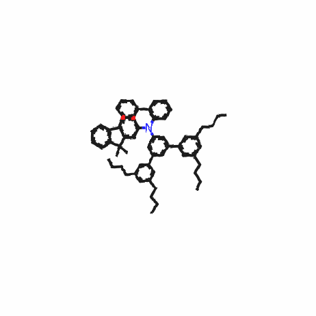 CCCCc1cc(CCCC)cc(-c2cc(-c3cc(CCCC)cc(CCCC)c3)cc(N(c3ccc4c(c3)C(C)(C)c3ccccc3-4)c3ccccc3-c3ccccc3)c2)c1